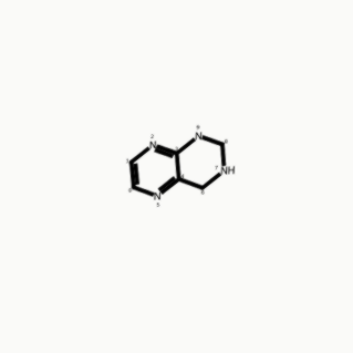 c1cnc2c(n1)CNC[N]2